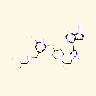 CC[C@@H](Cn1cc(-c2ncnc3[nH]ccc23)cn1)N1CCC(Oc2cc(CNC[C@@H](C)O)cc(C(F)(F)F)n2)CC1